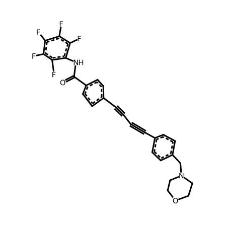 O=C(Nc1c(F)c(F)c(F)c(F)c1F)c1ccc(C#CC#Cc2ccc(CN3CCOCC3)cc2)cc1